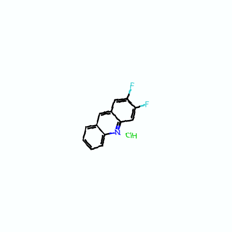 Cl.Fc1cc2cc3ccccc3nc2cc1F